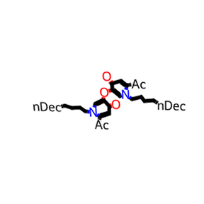 CCCCCCCCCCCCCCn1cc(Oc2cn(CCCCCCCCCCCCCC)c(C(C)=O)cc2=O)c(=O)cc1C(C)=O